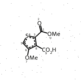 COC(=O)c1scc(OC)c1C(=O)O